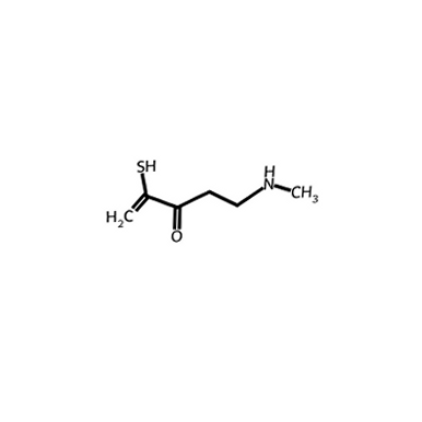 C=C(S)C(=O)CCNC